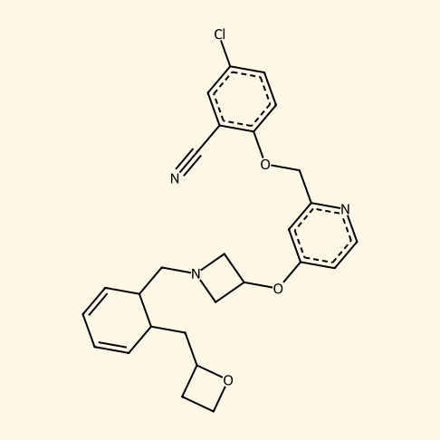 N#Cc1cc(Cl)ccc1OCc1cc(OC2CN(CC3C=CC=CC3CC3CCO3)C2)ccn1